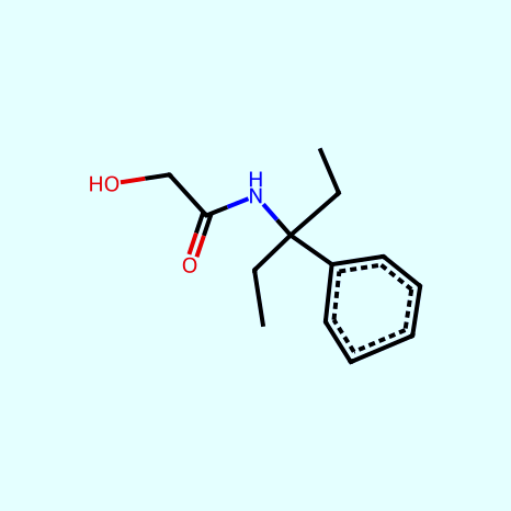 CCC(CC)(NC(=O)CO)c1ccccc1